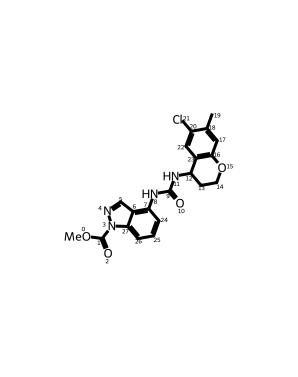 COC(=O)n1ncc2c(NC(=O)NC3CCOc4cc(C)c(Cl)cc43)cccc21